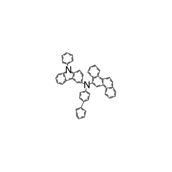 c1ccc(-c2ccc(N(c3ccc4c(c3)c3ccccc3n4-c3ccccc3)c3cc4c5ccccc5ccc4c4ccccc34)cc2)cc1